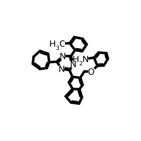 Cc1ccccc1-c1nc(C2=CC=CCC=C2)nc(-c2cc3ccccc3cc2COc2ccccc2N)n1